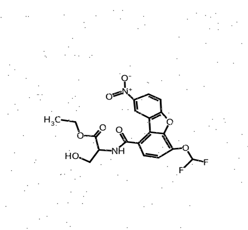 CCOC(=O)C(CO)NC(=O)c1ccc(OC(F)F)c2oc3ccc([N+](=O)[O-])cc3c12